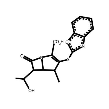 CC(O)C1C(=O)N2C(C(=O)O)=C(Sc3nc4ccccc4o3)C(C)C12